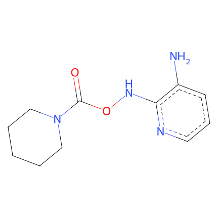 Nc1cccnc1NOC(=O)N1CCCCC1